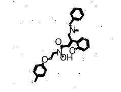 [CH]c1ccc(OCCN(O)C(=O)c2oc3ccccc3c2CN(C)Cc2ccccc2)cc1